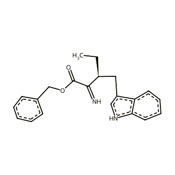 CC[C@@H](Cc1c[nH]c2ccccc12)C(=N)C(=O)OCc1ccccc1